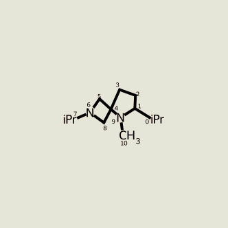 CC(C)C1CCC2(CN(C(C)C)C2)N1C